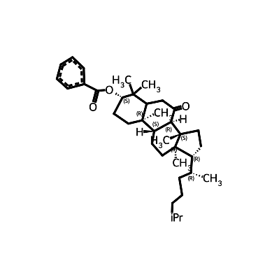 CC(C)CCC[C@@H](C)[C@H]1CC[C@@]2(C)[C@@H]3C(=O)CC4C(C)(C)[C@@H](OC(=O)c5ccccc5)CC[C@]4(C)[C@H]3CC[C@]12C